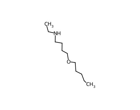 CCCCCOCCCCNCC